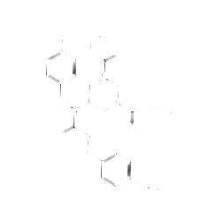 CC(C)COc1ccc(CNC(=O)N(Cc2ccc(F)cc2)C2CN(C(=O)OC(C)(C)C)CN(C(=O)OC(C)(C)C)C2)cc1